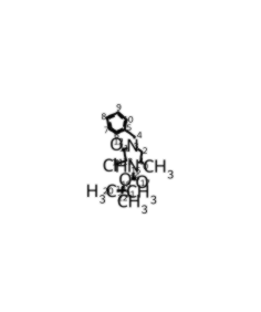 CC(CN(Cc1ccccc1)C(=O)CCl)NC(=O)OC(C)(C)C